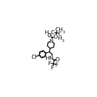 CC(C)(C)OC(=O)N1CCC(C(CNC(=O)C(F)(F)F)c2ccc(Cl)cc2)CC1